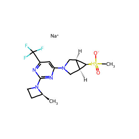 C[C@H]1CCN1c1nc(N2C[C@@H]3[C@H](C2)[C@@H]3[SH](C)(=O)[O-])cc(C(F)(F)F)n1.[Na+]